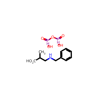 CC(CNCc1ccccc1)C(=O)O.O=[PH](O)O[PH](=O)O